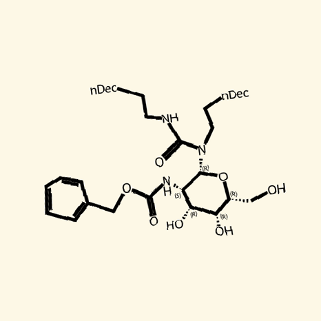 CCCCCCCCCCCCNC(=O)N(CCCCCCCCCCCC)[C@@H]1O[C@H](CO)[C@H](O)[C@H](O)[C@@H]1NC(=O)OCc1ccccc1